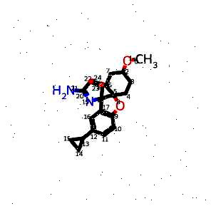 COC1CCC2(CC1)Oc1ccc(C3CC3)cc1C21N=C(N)c2ccccc21